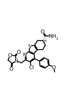 COc1ccc(-c2c(Cl)c(CN3C(=O)COC3=O)nc3sc4c(c23)CC[C@@H](C(N)=O)C4)cc1